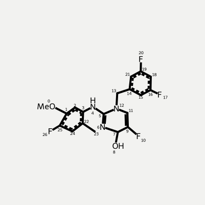 COc1cc(NC2=NC(O)C(F)=CN2Cc2cc(F)cc(F)c2)c(C)cc1F